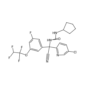 N#CC(NC(=O)NC1CCCC1)(c1cc(F)cc(OC(F)(F)C(F)F)c1)c1ccc(Cl)cn1